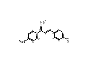 Br.CSc1ccc(C(=O)C=Cc2ccc(Cl)cc2)cc1